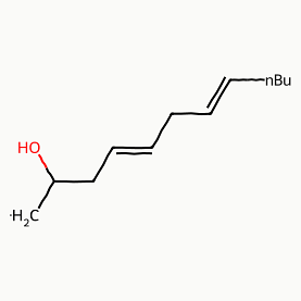 [CH2]C(O)C/C=C/C/C=C/CCCC